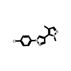 Cn1ncc(I)c1-c1cnn(-c2ccc(Cl)cc2)c1